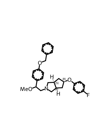 COC(CN1C[C@H]2C[C@@H](Oc3ccc(F)cc3)C[C@H]2C1)c1ccc(OCc2ccccc2)cc1